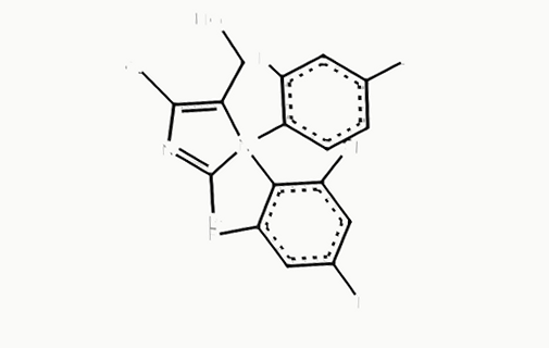 OCC1=C(Cl)N=C(Br)[N+]1(c1ccc(F)cc1F)c1c(F)cc(F)cc1Cl